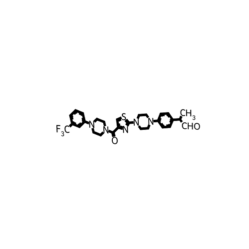 CC(C=O)c1ccc(N2CCN(c3nc(C(=O)N4CCN(c5cccc(C(F)(F)F)c5)CC4)cs3)CC2)cc1